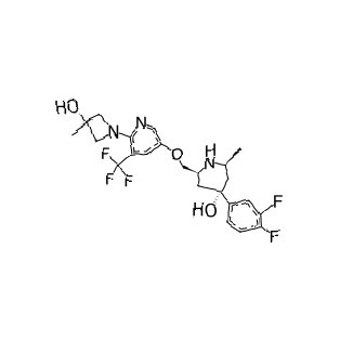 C[C@H]1C[C@@](O)(c2ccc(F)c(F)c2)C[C@@H](COc2cnc(N3CC(C)(O)C3)c(C(F)(F)F)c2)N1